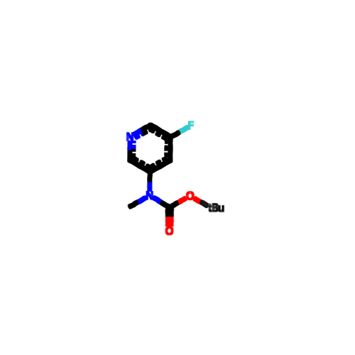 CN(C(=O)OC(C)(C)C)c1cncc(F)c1